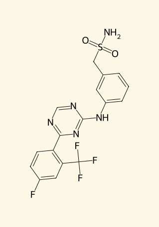 NS(=O)(=O)Cc1cccc(Nc2ncnc(-c3ccc(F)cc3C(F)(F)F)n2)c1